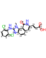 Cn1c(Nc2c(Cl)cccc2Cl)nc2ccc3cc(C=CC(=O)O)[nH]c(=O)c3c21